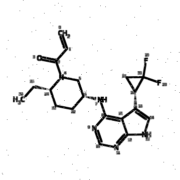 C=CC(=O)N1C[C@H](Nc2ncnc3[nH]cc([C@@H]4CC4(F)F)c23)CC[C@@H]1CC